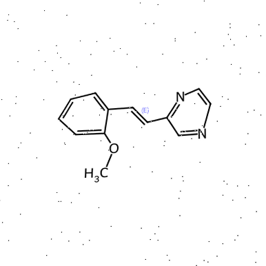 COc1ccccc1/C=C/c1cnccn1